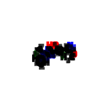 COc1cc(-c2cc(O)c(-c3cnc(N(C4CC4)[C@@H]4C[C@H]5CC[C@H](N5)[C@@H]4F)cn3)cc2F)cnn1